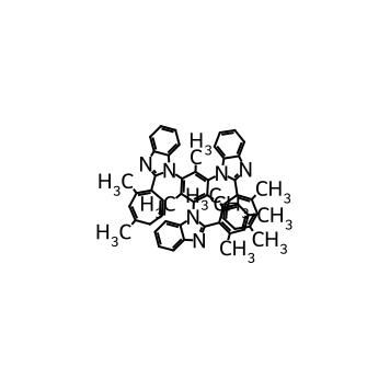 CC1=CC(C)=C(c2nc3ccccc3n2-c2c(C)c(-n3c(C4=C(C)C=C(C)CC#C4)nc4ccccc43)c(C)c(-n3c(-c4c(C)cc(C)cc4C)nc4ccccc43)c2C)C#CC1